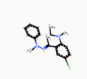 COCN(C)c1ccc(Cl)cc1/C(C)=N/N(C)c1ccccc1